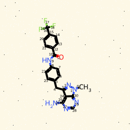 Cn1nc(Cc2ccc(NC(=O)c3ccc(C(F)(F)F)cc3)cc2)c2c(N)ncnc21